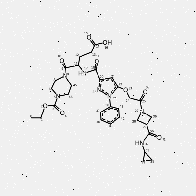 CCOC(=O)N1CCN(C(=O)C(CCC(=O)O)NC(=O)c2cc(OCC(=O)N3CC(C(=O)NC4CC4)C3)n(-c3ccccc3)n2)CC1